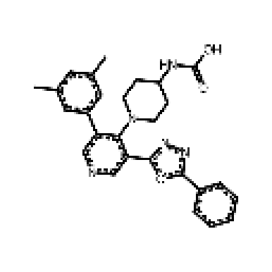 Cc1cc(C)cc(-c2cncc(-c3nnc(-c4ccccc4)o3)c2N2CCC(NC(=O)O)CC2)c1